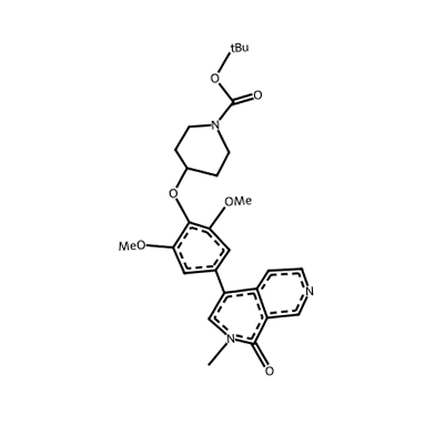 COc1cc(-c2cn(C)c(=O)c3cnccc23)cc(OC)c1OC1CCN(C(=O)OC(C)(C)C)CC1